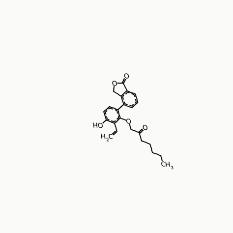 C=Cc1c(O)ccc(-c2cccc3c2COC3=O)c1OCC(=O)CCCCC